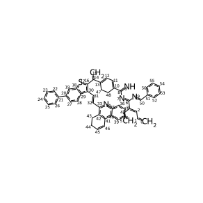 C=C/C=C(C=C)/C(=N/C(=N)C1=CC=C(C(=C)c2sc3cc(-c4ccccc4)ccc3c2/C=C/c2nc3ccccc3c3c2CCC=C3)CC1)/N=C/c1ccccc1